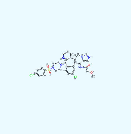 CCOCC(=O)NC(C1=Cc2cccnc2C(N2CCN(S(=O)(=O)c3ccc(Cl)cc3)CC2)c2ccc(Cl)cc21)c1cncn1C